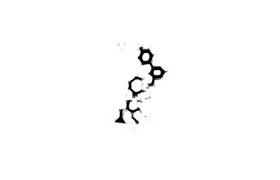 C=CC[C@H](C(N)=O)[C@@H](CC1CC1)C(=O)N[C@H]1CCCCN(Cc2cccc(-c3ccc(OC)cc3)c2)C1=O